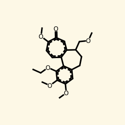 CCOc1c(OC)c(OC)cc2c1-c1ccc(OC)c(=O)cc1C(COC)CC2